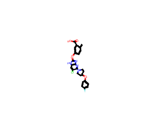 Cc1ccc(Oc2nc3nc(N4CCC(Oc5ccc(F)cc5)CC4)c(Cl)cc3[nH]2)cc1C(=O)O